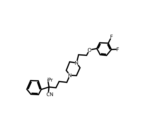 CC(C)C(C#N)(CCCN1CCN(CCOc2ccc(F)c(F)c2)CC1)c1ccccc1